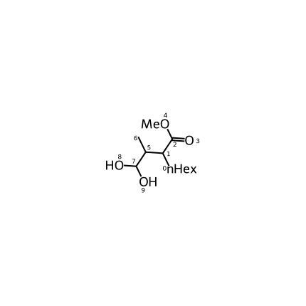 CCCCCCC(C(=O)OC)C(C)C(O)O